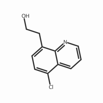 OCCc1ccc(Cl)c2cccnc12